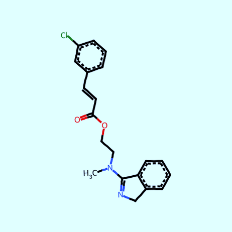 CN(CCOC(=O)/C=C/c1cccc(Cl)c1)C1=NCc2ccccc21